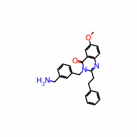 COc1ccc2nc(CCc3ccccc3)n(Cc3cccc(CN)c3)c(=O)c2c1